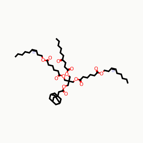 CCCCC/C=C\CCOC(=O)CCCCC(=O)OCC(COC(=O)CCCCC(=O)OCC/C=C\CCCCC)(COC(=O)CCC(=O)CCCCCC)COC(=O)CC12CC3CC(CC(C3)C1)C2